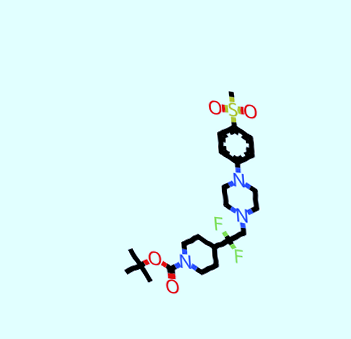 CC(C)(C)OC(=O)N1CCC(C(F)(F)CN2CCN(c3ccc(S(C)(=O)=O)cc3)CC2)CC1